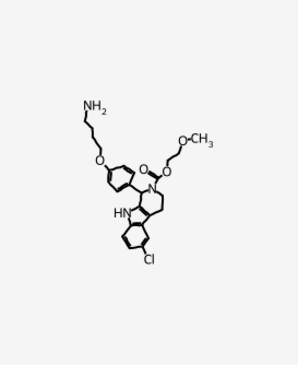 COCCOC(=O)N1CCc2c([nH]c3ccc(Cl)cc23)C1c1ccc(OCCCCN)cc1